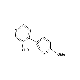 COc1ccc(-c2ccncc2C=O)cc1